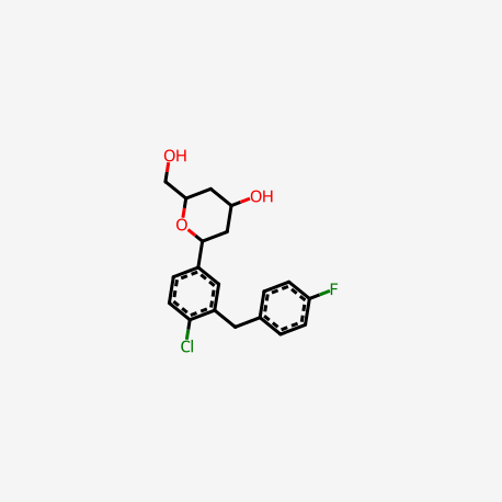 OCC1CC(O)CC(c2ccc(Cl)c(Cc3ccc(F)cc3)c2)O1